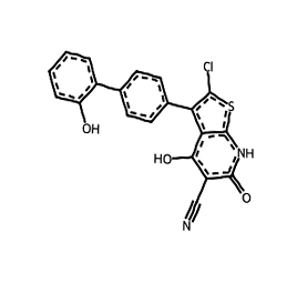 N#Cc1c(O)c2c(-c3ccc(-c4ccccc4O)cc3)c(Cl)sc2[nH]c1=O